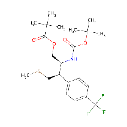 CSC[C@H](c1ccc(C(F)(F)F)cc1)[C@@H](COC(=O)C(C)(C)C)NC(=O)OC(C)(C)C